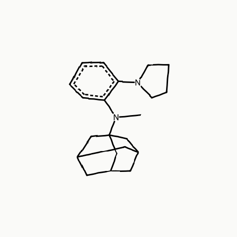 CN(c1ccccc1N1CCCC1)C12CC3CC(CC(C3)C1)C2